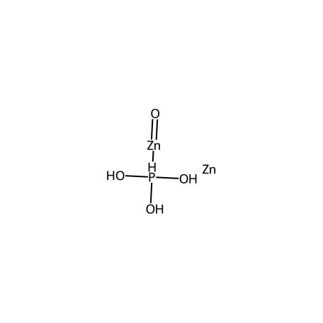 [O]=[Zn][PH](O)(O)O.[Zn]